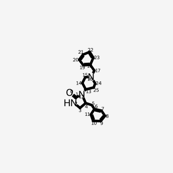 O=C1NCC(Cc2ccccc2)N1C1CCN(Cc2ccccc2)CC1